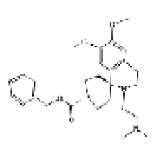 COc1cc2c(cc1OC)[C@]1(CC[C@@H](C(=O)OCc3ccccc3)CC1)N(CCN(C)C)CC2